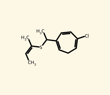 C/C=C(/C)SC(C)C1=CCC=C(Cl)C=C1